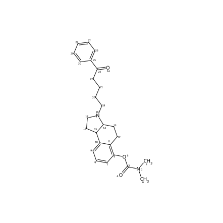 CN(C)C(=O)Oc1cccc2c1CCC1C2CCN1CCCCC(=O)c1ccccc1